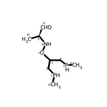 CPCC(CPC)ON[C@@H](C)C=O